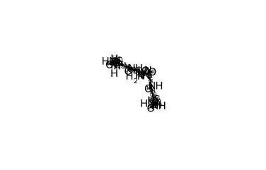 NC(=O)[C@H](CCCCNC(=O)CCCC[C@@H]1SC[C@@H]2NC(=O)N[C@@H]21)NC(=O)[C@@H](N)CCCCNC(=O)CCCC[C@@H]1SC[C@@H]2NC(=O)N[C@@H]21